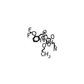 C=CCOC(=O)N[C@@H](CS(=O)(=O)Cc1ccccc1OC(F)F)C(=O)NCC#N